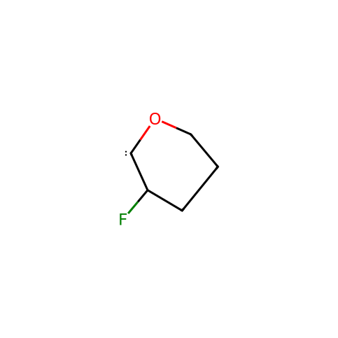 FC1[C]OCCC1